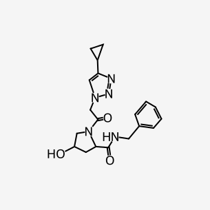 O=C(NCc1ccccc1)C1CC(O)CN1C(=O)Cn1cc(C2CC2)nn1